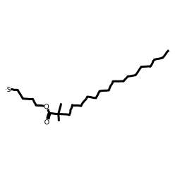 CCCCCCCCCCCCCCCCC(C)(C)C(=O)OCCCC[S]